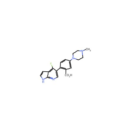 CN1CCN(c2ccc(-c3cnc4[nH]ccc4c3F)c(C(=O)O)c2)CC1